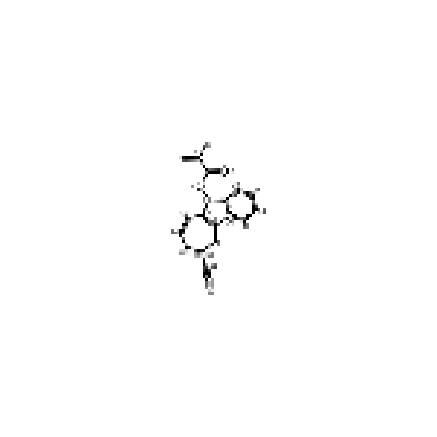 C=C(C)C(=O)OC1C2=C(C[C@@H](C#N)CC=C2)c2ccccc21